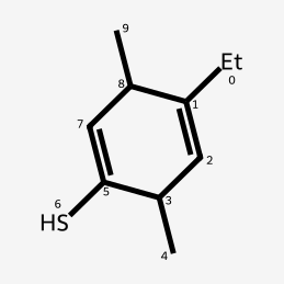 CCC1=CC(C)C(S)=CC1C